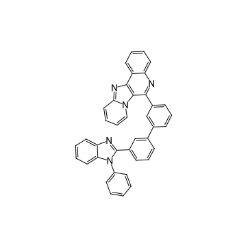 c1ccc(-n2c(-c3cccc(-c4cccc(-c5nc6ccccc6c6nc7ccccn7c56)c4)c3)nc3ccccc32)cc1